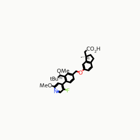 COc1cc(-c2ccc(COc3ccc4c(c3)[C@@](C)(CC(=O)O)CC4)cc2[C@@H](OC)C(C)(C)C)c(F)cn1